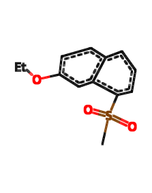 CCOc1ccc2cccc(S(C)(=O)=O)c2c1